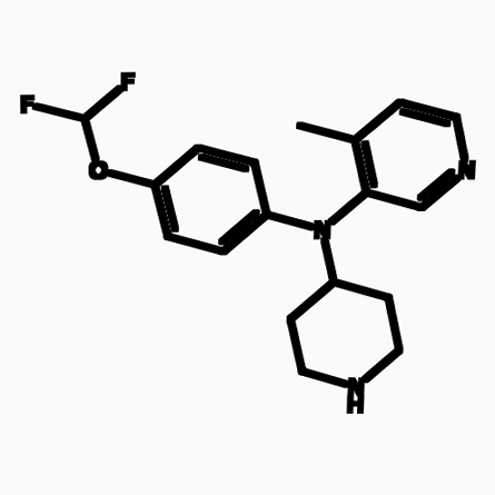 Cc1ccncc1N(c1ccc(OC(F)F)cc1)C1CCNCC1